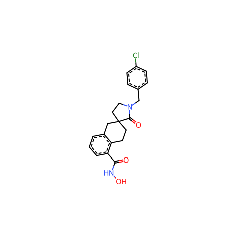 O=C(NO)c1cccc2c1CCC1(CCN(Cc3ccc(Cl)cc3)C1=O)C2